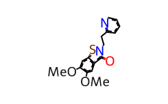 COc1cc2sn(CCc3ccccn3)c(=O)c2cc1OC